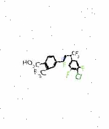 O=C(O)c1ccc(/C(F)=C/C(c2cc(F)c(Cl)c(F)c2)C(F)(F)F)cc1C(F)(F)F